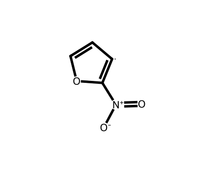 O=[N+]([O-])c1[c]cco1